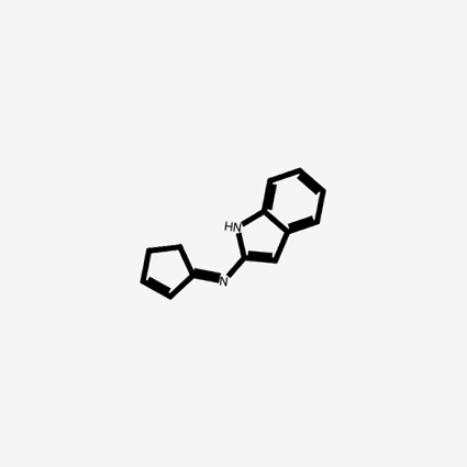 C1=CC(=Nc2cc3ccccc3[nH]2)CC1